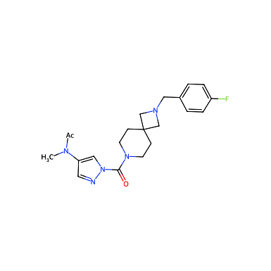 CC(=O)N(C)c1cnn(C(=O)N2CCC3(CC2)CN(Cc2ccc(F)cc2)C3)c1